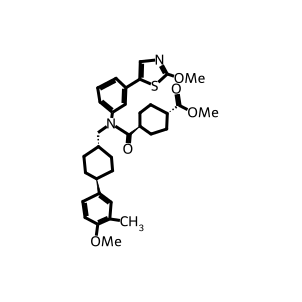 COc1ncc(-c2cccc(N(C[C@H]3CC[C@H](c4ccc(OC)c(C)c4)CC3)C(=O)[C@H]3CC[C@H](C(=O)OC)CC3)c2)s1